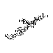 COc1cc2c(cc1OC)C(CN1CCN(C3CC4(CCN(c5ccc(C(=O)NS(=O)(=O)c6ccc(NCC7CCC(C)(O)CC7)c([N+](=O)[O-])c6)c(Oc6cnc7[nH]ccc7c6)c5)CC4)C3)[C@H](c3ccccc3C(C)C)C1)C2